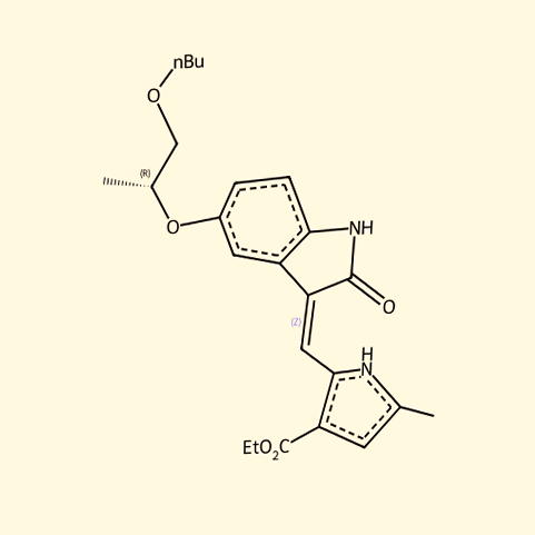 CCCCOC[C@@H](C)Oc1ccc2c(c1)/C(=C/c1[nH]c(C)cc1C(=O)OCC)C(=O)N2